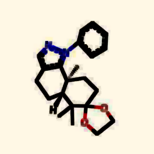 CC1(C)[C@@H]2CCc3cnn(-c4ccccc4)c3[C@@]2(C)CCC12OCCO2